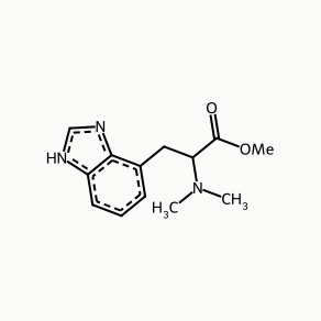 COC(=O)C(Cc1cccc2[nH]cnc12)N(C)C